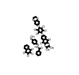 N#Cc1sc2c(=O)c3ccccc3c(=O)c=2sc1C#N.O=C(NN=C1C=CC(=NO)C=C1)c1ccccc1.O=C1C(Cl)=C(Cl)C(=O)C(Cl)=C1Cl.O=C1C(Cl)=C(Cl)C(=O)c2ccccc21.c1ccc2nccnc2c1